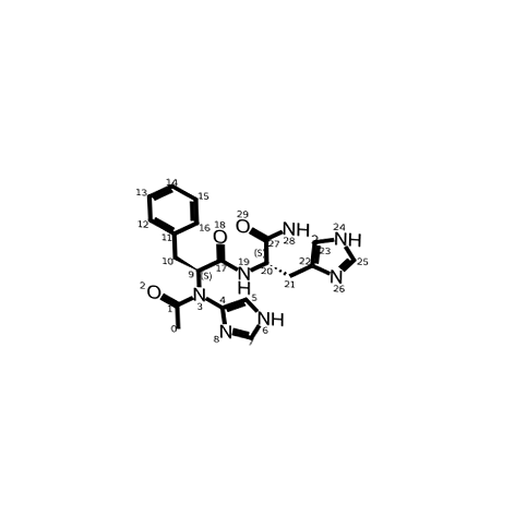 CC(=O)N(c1c[nH]cn1)[C@@H](Cc1ccccc1)C(=O)N[C@@H](Cc1c[nH]cn1)C(N)=O